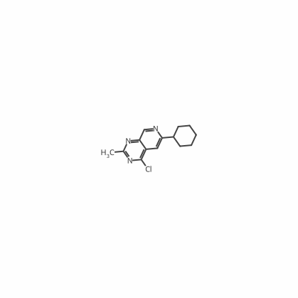 Cc1nc(Cl)c2cc(C3CCCCC3)ncc2n1